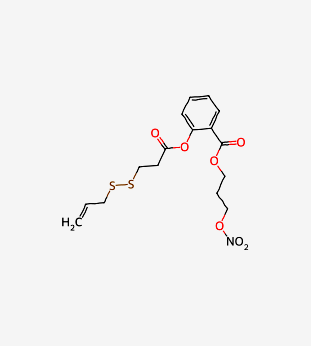 C=CCSSCCC(=O)Oc1ccccc1C(=O)OCCCO[N+](=O)[O-]